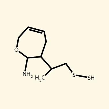 CC(CSS)C1CC=CCOC1N